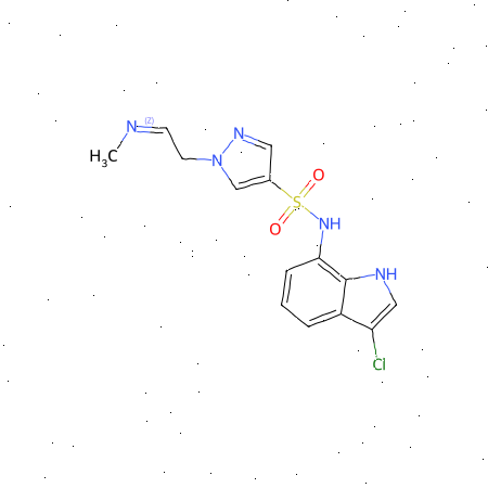 C/N=C\Cn1cc(S(=O)(=O)Nc2cccc3c(Cl)c[nH]c23)cn1